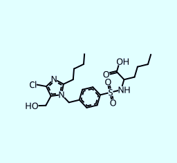 CCCCc1nc(Cl)c(CO)n1Cc1ccc(S(=O)(=O)NC(CCCC)C(=O)O)cc1